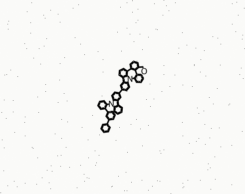 c1ccc(-c2cccc(-c3ccccc3-n3c4ccccc4c4cc(-c5ccc6c(c5)c5cccc7c5n6-c5cccc6c5-c5c(cccc5-7)CO6)ccc43)c2)cc1